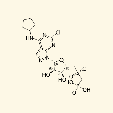 O=P(O)(O)CS(=O)(=O)C[C@H]1O[C@@H](n2ncc3c(NC4CCCC4)nc(Cl)nc32)[C@H](O)[C@@H]1O